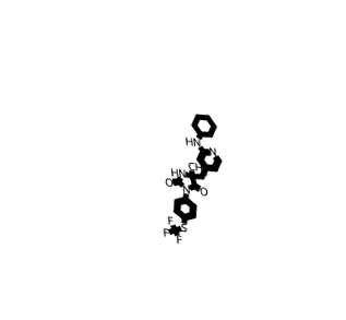 CC1(Cc2ccnc(NC3CCCCC3)c2)NC(=O)N(c2ccc(SC(F)(F)F)cc2)C1=O